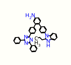 CCCC1Nc2ccccc2N1c1ccc(-c2ccc(N)cc2-c2ccc(-c3nc(-c4ccccc4)nc(-c4ccccc4)n3)cc2)cc1